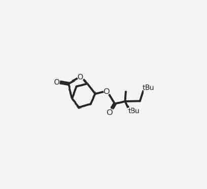 CC(C)(C)CC(C)(C(=O)OC1CCC2CC1OC2=O)C(C)(C)C